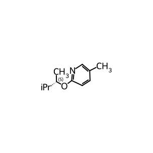 Cc1ccc(O[C@@H](C)C(C)C)nc1